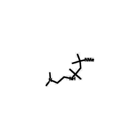 CNC(C)(C)CC(C)(C)NCCN(C)C